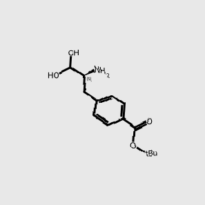 CC(C)(C)OC(=O)c1ccc(C[C@H](N)C(O)O)cc1